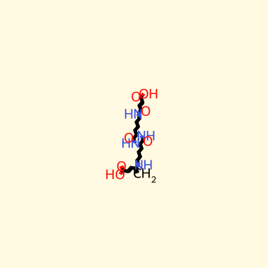 C=C(/C=C/C(=O)O)NCCCCC1NC(=O)C(CCCCNC(=O)/C=C/C(=O)O)NC1=O